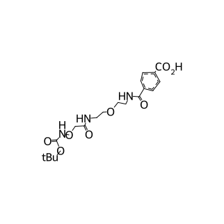 CC(C)(C)OC(=O)NOCC(=O)NCCOCCNC(=O)c1ccc(C(=O)O)cc1